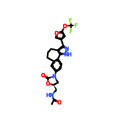 CC(=O)NC[C@H]1CN(c2ccc3c(c2)CCCc2c(-c4coc(OC(F)(F)F)c4)n[nH]c2-3)C(=O)O1